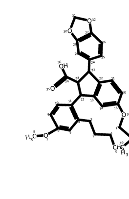 CCCCc1cc(OC)ccc1C1c2cc(OCCC)ccc2C(c2ccc3c(c2)OCO3)C1C(=O)O